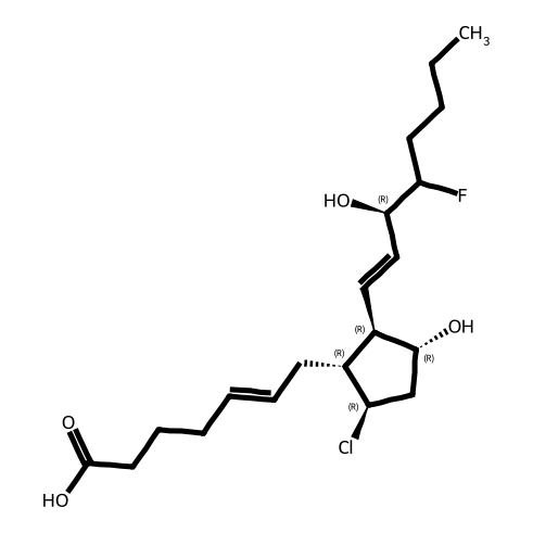 CCCCC(F)[C@H](O)C=C[C@@H]1[C@@H](CC=CCCCC(=O)O)[C@H](Cl)C[C@H]1O